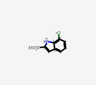 CCOC(=O)c1cc2cccc(Cl)c2[nH]1